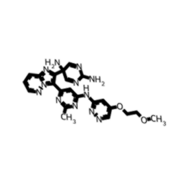 COCCOc1cnnc(Nc2cc(-c3c(C4(N)C=NC(N)N=C4)nc4cccnn34)nc(C)n2)c1